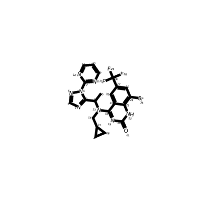 CC(c1ncnn1-c1ncccn1)N(CC1CC1)c1nc(=O)[nH]c2c(Br)cc(C(F)(F)F)cc12